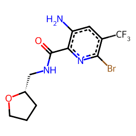 Nc1cc(C(F)(F)F)c(Br)nc1C(=O)NC[C@@H]1CCCO1